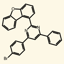 Brc1ccc(-c2cc(-c3ccccc3)nc(-c3cccc4oc5ccccc5c34)n2)cc1